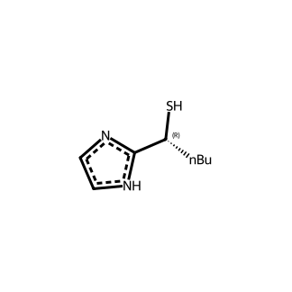 CCCC[C@@H](S)c1ncc[nH]1